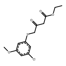 CCOC(=O)CC(=O)CSc1cc(Cl)cc(OC)c1